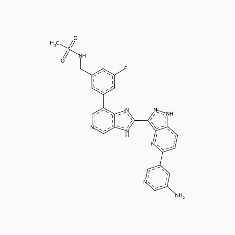 CS(=O)(=O)NCc1cc(F)cc(-c2cncc3[nH]c(-c4n[nH]c5ccc(-c6cncc(N)c6)nc45)nc23)c1